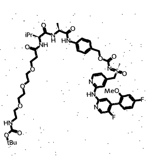 COc1cc(F)ccc1-c1cc(Nc2cc(C[S@](C)(=O)=NC(=O)OCc3ccc(NC(=O)[C@H](C)NC(=O)[C@@H](NC(=O)CCOCCOCCOCCNC(=O)OC(C)(C)C)C(C)C)cc3)ccn2)ncc1F